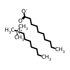 CCCCCCCCCC(=O)[O-].CCCCCCC[N+](C)(C)C